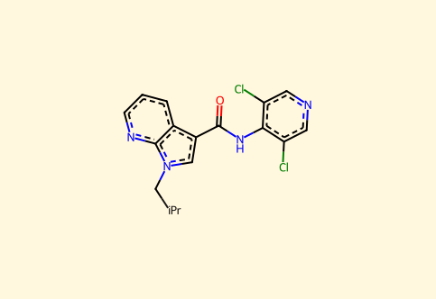 CC(C)Cn1cc(C(=O)Nc2c(Cl)cncc2Cl)c2cccnc21